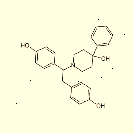 Oc1ccc(CC(c2ccc(O)cc2)N2CCC(O)(c3ccccc3)CC2)cc1